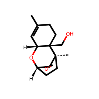 CC1=C[C@H]2O[C@H]3CC[C@@](C)(C34CO4)[C@@]2(CO)CC1